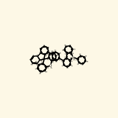 C1=CC2c3cccc(-c4ccc(-c5cccc6c5c5ccccc5n6-c5ccccc5)cc4)c3C3(c4ccccc4Oc4ccccc43)C2C=C1